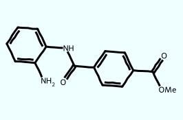 COC(=O)c1ccc(C(=O)Nc2ccccc2N)cc1